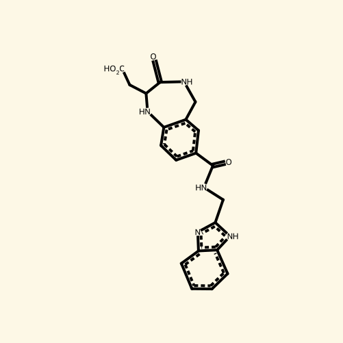 O=C(O)CC1Nc2ccc(C(=O)NCc3nc4ccccc4[nH]3)cc2CNC1=O